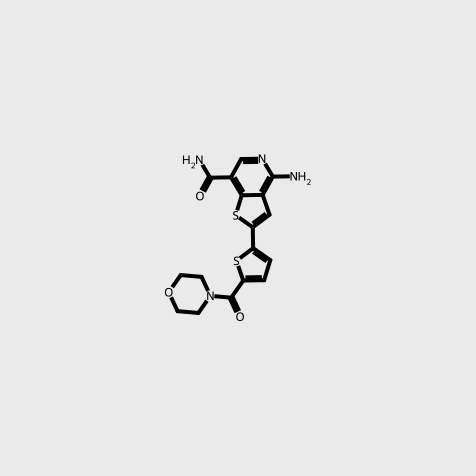 NC(=O)c1cnc(N)c2cc(-c3ccc(C(=O)N4CCOCC4)s3)sc12